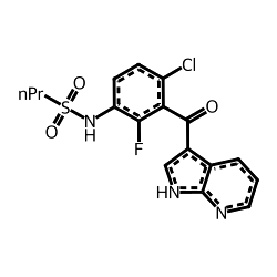 CCCS(=O)(=O)Nc1ccc(Cl)c(C(=O)c2c[nH]c3ncccc23)c1F